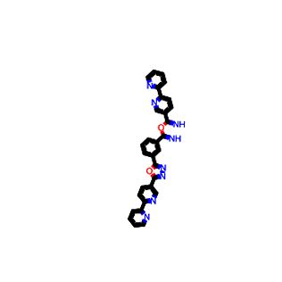 N=C(OC(=N)c1cccc(-c2nnc(-c3ccc(-c4ccccn4)nc3)o2)c1)c1ccc(-c2ccccn2)nc1